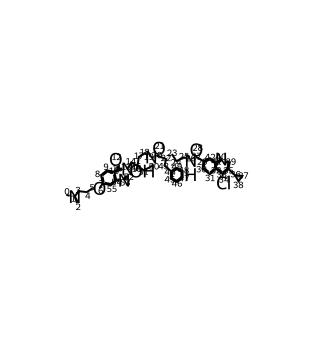 CN(C)CCCOc1ccc2c(=O)n(CC3(O)CCN(C(=O)[C@H](CCCNC(=O)c4ccc5c(Cl)c(C6CC6)cnc5c4)Cc4ccccc4)CC3)cnc2c1